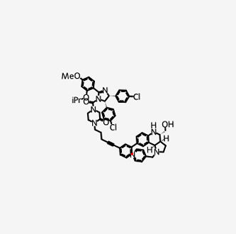 COc1ccc(C2=N[C@H](c3ccc(Cl)cc3)[C@H](c3ccc(Cl)cc3)N2C(=O)N2CCN(CCCC#Cc3cccc(-c4ccc5c(c4)[C@H]4[C@H](CCN4Cc4ccncc4)[C@@H](CO)N5)c3)C(=O)C2)c(OC(C)C)c1